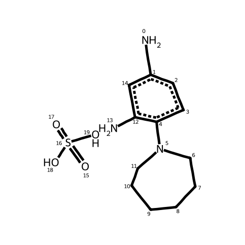 Nc1ccc(N2CCCCCC2)c(N)c1.O=S(=O)(O)O